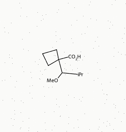 COC(C(C)C)C1(C(=O)O)CCC1